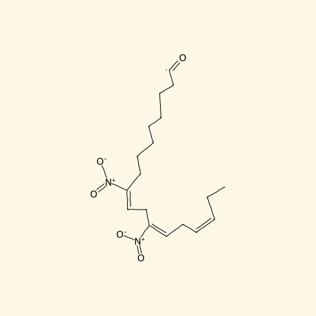 CC/C=C\C/C=C(\C/C=C(\CCCCCCC[C]=O)[N+](=O)[O-])[N+](=O)[O-]